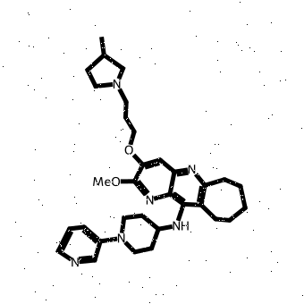 COc1nc2c(NC3CCN(c4cccnc4)CC3)c3c(nc2cc1OCCCN1CCC(C)C1)CCCCC3